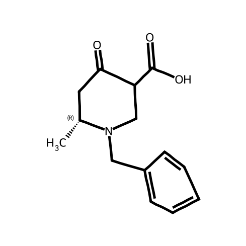 C[C@@H]1CC(=O)C(C(=O)O)CN1Cc1ccccc1